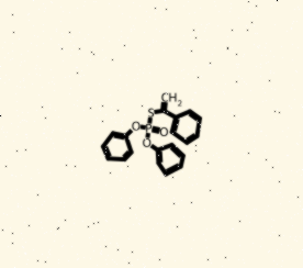 C=C(SP(=O)(Oc1ccccc1)Oc1ccccc1)c1ccccc1